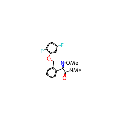 CNC(=O)/C(=N\OC)c1ccccc1COc1cc(F)ccc1F